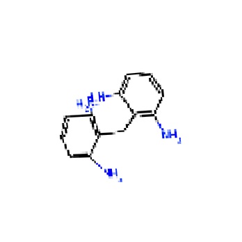 Nc1cccc(N)c1Cc1c(N)cccc1N